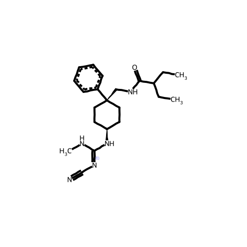 CCC(CC)C(=O)NC[C@]1(c2ccccc2)CC[C@H](N/C(=N/C#N)NC)CC1